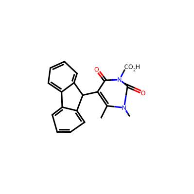 Cc1c(C2c3ccccc3-c3ccccc32)c(=O)n(C(=O)O)c(=O)n1C